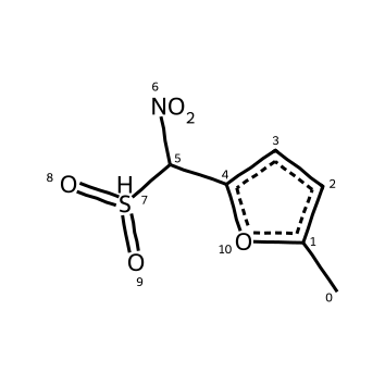 Cc1ccc(C([N+](=O)[O-])[SH](=O)=O)o1